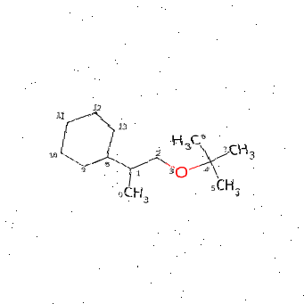 CC(COC(C)(C)C)C1CCCCC1